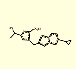 CCOC(=O)c1nc(C(O)O)cn1Cc1cn2cc(C3CC3)ccc2n1